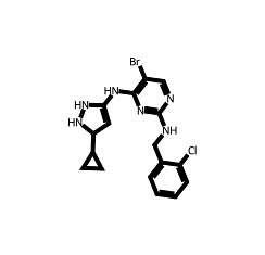 Clc1ccccc1CNc1ncc(Br)c(NC2=CC(C3CC3)NN2)n1